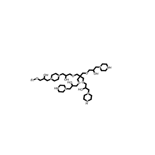 CCOCC(O)CN1CCN(CC(O)COCC(COCC(O)CN2CCNCC2)(COCC(O)CN2CCNCC2)COCC(O)CN2CCNCC2)CC1